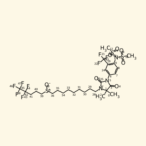 CC1(C)C(=O)N(c2ccc(N(S(C)(=O)=O)S(C)(=O)=O)c(C(F)(F)F)c2)C(=O)N1CCCCCCCCC[S+]([O-])CCCC(F)(F)C(F)(F)F